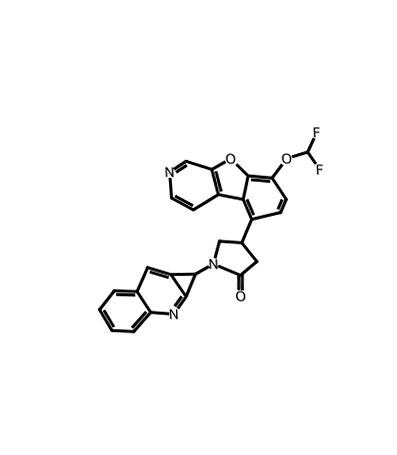 O=C1CC(c2ccc(OC(F)F)c3oc4cnccc4c23)CN1C1c2cc3ccccc3nc21